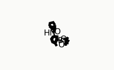 Cc1ccc(NC(=O)C2C3CCC2CC3)cc1B1OC(C)(C)C(C)(C)O1